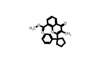 COC(=O)c1cccc2c(=O)c(C)c(C3(c4ccccc4)CCCC3)oc12